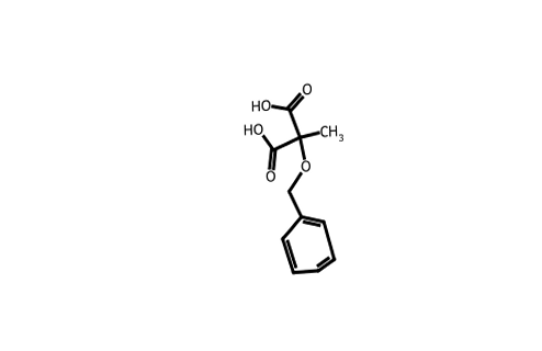 CC(OCc1ccccc1)(C(=O)O)C(=O)O